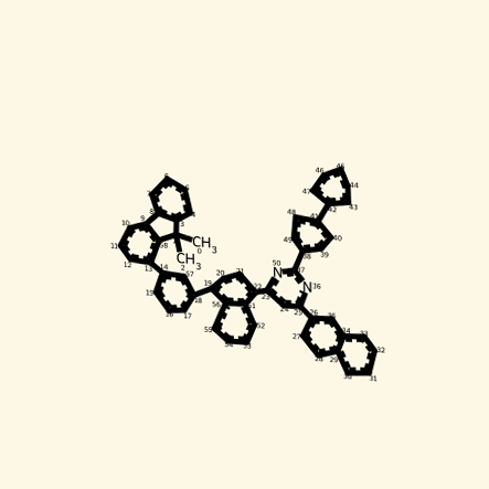 CC1(C)c2ccccc2-c2cccc(-c3cccc(-c4ccc(-c5cc(-c6ccc7ccccc7c6)nc(-c6ccc(-c7ccccc7)cc6)n5)c5ccccc45)c3)c21